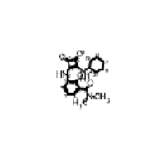 CN(C)C(=O)c1cccc(Nc2c(NC3CCCCC3)c(=O)c2=O)c1O